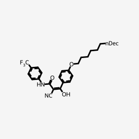 CCCCCCCCCCCCCCCCOc1ccc(C(O)=C(C#N)C(=O)Nc2ccc(C(F)(F)F)cc2)cc1